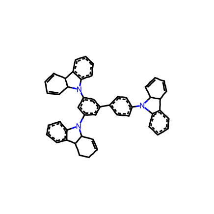 C1=CC2c3ccccc3N(c3ccc(-c4cc(N5c6ccccc6C6C=CC=CC65)cc(N5c6ccccc6C6CCC=CC65)c4)cc3)C2C=C1